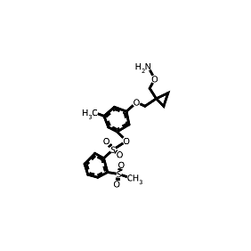 Cc1cc(OCC2(CON)CC2)cc(OS(=O)(=O)c2ccccc2S(C)(=O)=O)c1